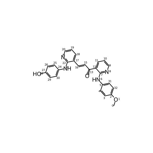 COc1ccc(Nc2ncccc2C(=O)C=Cc2cccnc2Nc2ccc(O)cc2)cc1